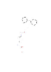 CC(C)(C)OC(=O)NC12CCC(NC(=O)OCC3c4ccccc4-c4ccccc43)(CC1)[C@H](O)C2